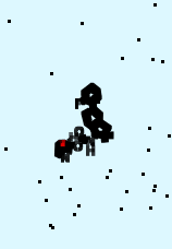 CC1(C)Cc2cc(-c3ccccc3F)ccc2C1NC(=O)O[C@H]1CN2CCC1CC2